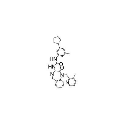 Cc1cc(NC(=O)NC2N=Cc3ccccc3N(Cc3ncccc3C)C2=O)cc(C2CCCC2)c1